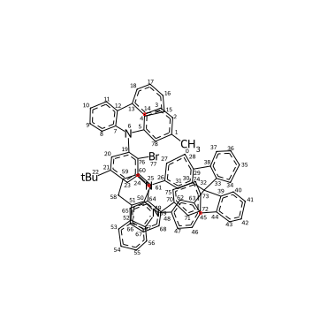 Cc1cccc(N(c2ccccc2-c2ccccc2)c2cc(C(C)(C)C)cc(N(c3ccc4c(c3)C3(c5ccccc5-4)c4ccccc4-c4ccc(-n5c6c(c7ccccc75)CCC=C6)cc43)c3ccccc3-c3ccccc3)c2Br)c1